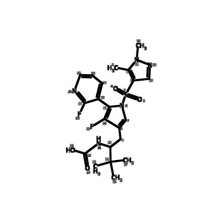 Cc1c(S(=O)(=O)n2cc(CC(NC(=O)O)C(C)(C)C)c(F)c2-c2cccnc2F)cnn1C